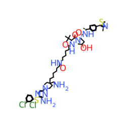 Cc1ncsc1-c1ccc([C@H](C)NC(=O)[C@@H]2C[C@@H](O)CN2C(=O)[C@@H](NC(=O)CCCCCNC(=O)CCCCCC2(CN)CCN(c3cnc(Sc4cccc(Cl)c4Cl)c(N)n3)CC2)C(C)(C)C)cc1